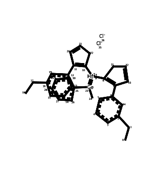 CCc1cccc(C2=[C]([Hf+2]([C]3=C(c4cccc(CC)c4)C=CC3)=[Ge]([CH3])[c]3ccccc3)CC=C2)c1.[Cl-].[Cl-]